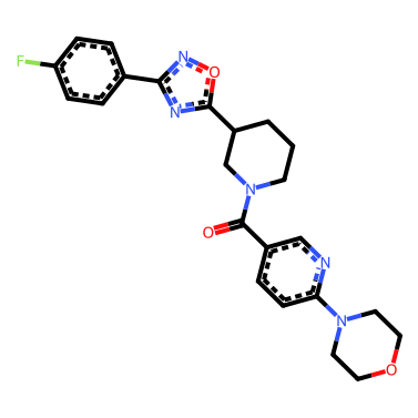 O=C(c1ccc(N2CCOCC2)nc1)N1CCCC(c2nc(-c3ccc(F)cc3)no2)C1